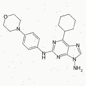 Nn1cnc2c(C3CCCCC3)nc(Nc3ccc(N4CCOCC4)cc3)nc21